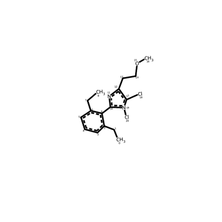 CCc1cccc(CC)c1-c1nc(CCOC)c(Cl)n1Cl